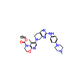 Cc1c(N2CCc3cnc(Nc4ccc(N5CCN(C)CC5)cc4)nc3C2)cnc2c1N(C(=O)OC(C)(C)C)CCO2